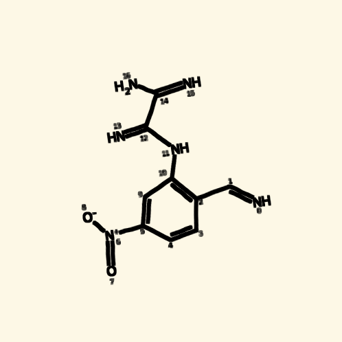 N=Cc1ccc([N+](=O)[O-])cc1NC(=N)C(=N)N